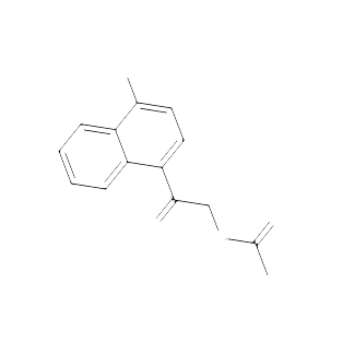 CC(=O)OCC(=O)c1ccc(F)c2ccccc12